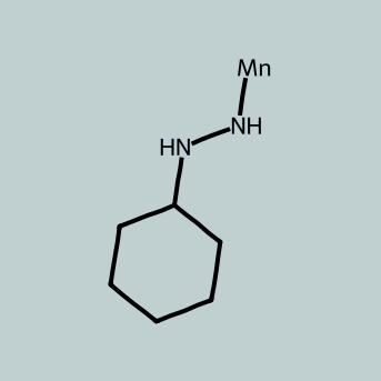 [Mn][NH]NC1CCCCC1